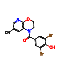 [C-]#[N+]c1cnc2c(c1)N(C(=O)c1cc(Br)c(O)c(Br)c1)CCO2